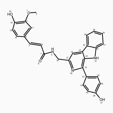 COc1cc(/C=C/C(=O)NCc2cc3c([nH]c4ccccc43)c(-c3ccc(O)cc3)n2)ccc1O